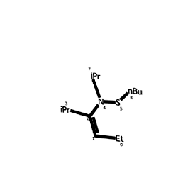 CC/C=C(/C(C)C)N(SCCCC)C(C)C